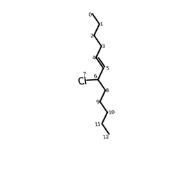 CCCCC=CC(Cl)CCCCC